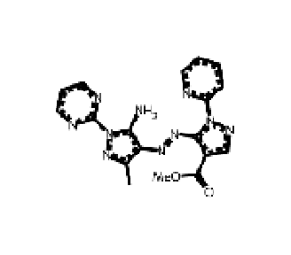 COC(=O)c1cnn(-c2ccccn2)c1/N=N/c1c(C)nn(-c2ncccn2)c1N